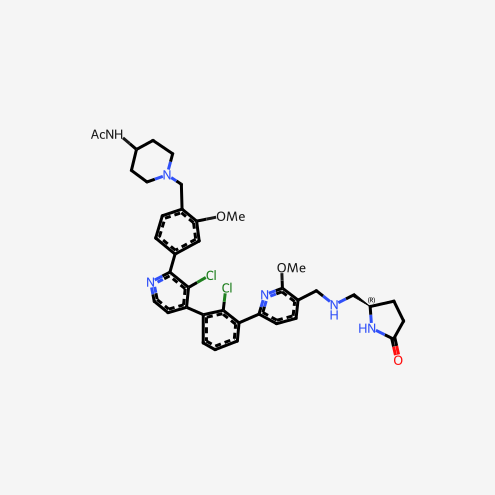 COc1cc(-c2nccc(-c3cccc(-c4ccc(CNC[C@H]5CCC(=O)N5)c(OC)n4)c3Cl)c2Cl)ccc1CN1CCC(NC(C)=O)CC1